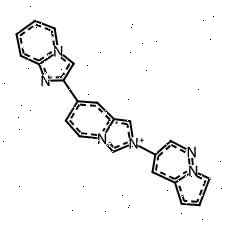 c1ccn2cc(-c3ccn4c[n+](-c5cnn6cccc6c5)cc4c3)nc2c1